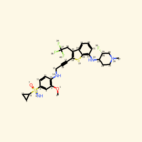 COc1cc(S(=N)(=O)C2CC2)ccc1NCC#Cc1sc2c(NC3CCN(C)C[C@H]3F)cccc2c1CC(F)(F)F